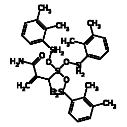 C=C(C(N)=O)C(CC)[Si](O[SiH2]c1cccc(C)c1C)(O[SiH2]c1cccc(C)c1C)O[SiH2]c1cccc(C)c1C